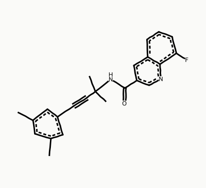 Cc1cc(C)cc(C#CC(C)(C)NC(=O)c2cnc3c(F)cccc3c2)c1